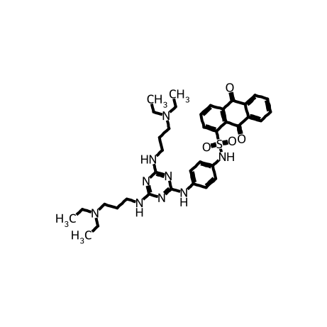 CCN(CC)CCCNc1nc(NCCCN(CC)CC)nc(Nc2ccc(NS(=O)(=O)c3cccc4c3C(=O)c3ccccc3C4=O)cc2)n1